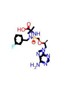 C[C@@H](Cn1cnc2c(N)ncnc21)OCP(=O)(NCc1cccc(F)c1)NC(C)(C)C(=O)O